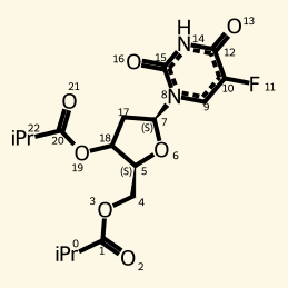 CC(C)C(=O)OC[C@@H]1O[C@H](n2cc(F)c(=O)[nH]c2=O)CC1OC(=O)C(C)C